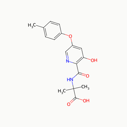 Cc1ccc(Oc2cnc(C(=O)NC(C)(C)C(=O)O)c(O)c2)cc1